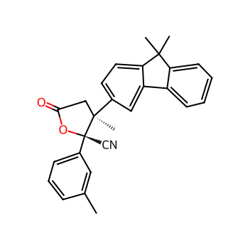 Cc1cccc([C@]2(C#N)OC(=O)C[C@@]2(C)c2ccc3c(c2)-c2ccccc2C3(C)C)c1